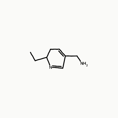 CCC1CC=C(CN)C=N1